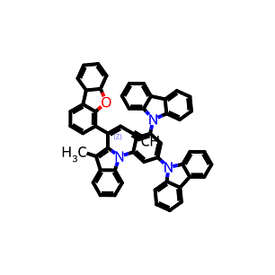 C#C/C=C(/c1cccc2c1OC1C=CC=CC21)c1c(C)c2ccccc2n1-c1cc(-n2c3ccccc3c3ccccc32)cc(-n2c3ccccc3c3ccccc32)c1